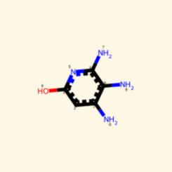 Nc1cc(O)nc(N)c1N